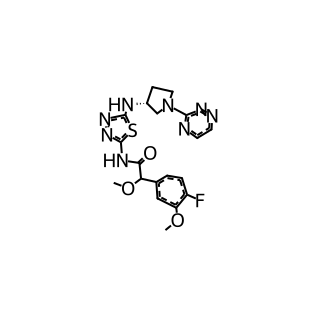 COc1cc(C(OC)C(=O)Nc2nnc(N[C@@H]3CCN(c4nccnn4)C3)s2)ccc1F